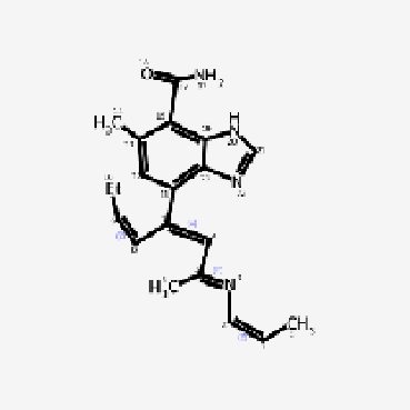 C\C=C/N=C(C)/C=C(\C=C/CC)c1cc(C)c(C(N)=O)c2[nH]cnc12